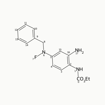 CCOC(=O)Nc1ccc(N(F)Cc2ccccc2)cc1N